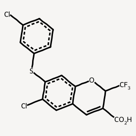 O=C(O)C1=Cc2cc(Cl)c(Sc3cccc(Cl)c3)cc2OC1C(F)(F)F